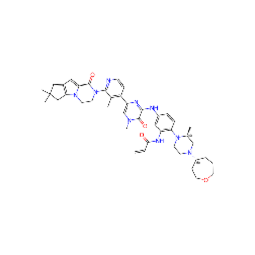 C=CC(=O)Nc1cc(Nc2nc(-c3ccnc(N4CCn5c(cc6c5CC(C)(C)C6)C4=O)c3C)cn(C)c2=O)ccc1N1CCN([C@@H]2CCCOCC2)C[C@@H]1C